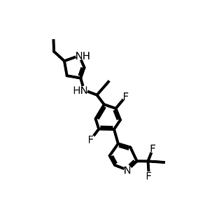 CCC1CC(NC(C)c2cc(F)c(-c3ccnc(C(C)(F)F)c3)cc2F)=CN1